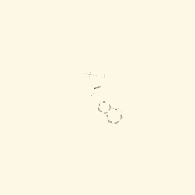 CC(C)(C)OC(=O)Nc1cc2c(O)ccnc2s1